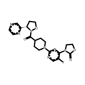 O=C1OCCN1c1nc(N2CCC(C(=O)N3OCC[C@H]3c3cnccn3)CC2)ncc1F